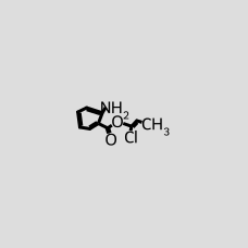 CC=C(Cl)OC(=O)c1ccccc1N